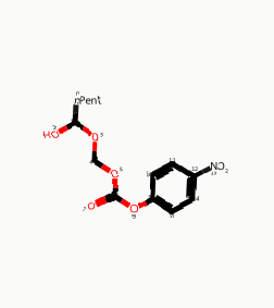 CCCCCC(O)OCOC(=O)Oc1ccc([N+](=O)[O-])cc1